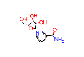 NC(=O)c1ccc[n+]([C@@H]2O[C@H](CO)C(O)[C@@H]2O)c1